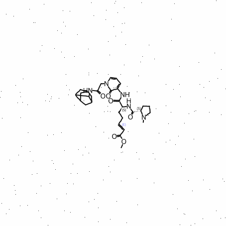 COC(=O)/C=C/CC[C@H](NC(=O)[C@@H]1CCCN1C)C(=O)Nc1cccn(CC(=O)NC2C3CC4CC(C3)C2C4)c1=O